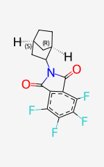 O=C1c2c(F)c(F)c(F)c(F)c2C(=O)N1C1C[C@H]2CC[C@@H]1C2